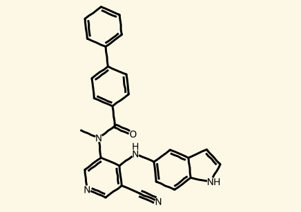 CN(C(=O)c1ccc(-c2ccccc2)cc1)c1cncc(C#N)c1Nc1ccc2[nH]ccc2c1